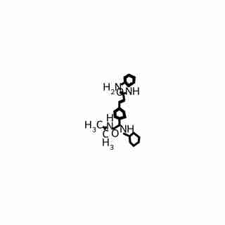 CC(C)NC(=O)C(NCC1CCCCC1)c1ccc(C=CC(=O)Nc2ccccc2N)cc1